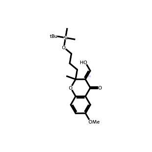 COc1ccc2c(c1)C(=O)/C(=C/O)C(C)(CCCO[Si](C)(C)C(C)(C)C)O2